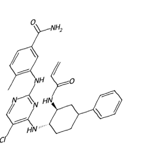 C=CC(=O)N[C@H]1CC(c2ccccc2)CC[C@@H]1Nc1nc(Nc2cc(C(N)=O)ccc2C)ncc1Cl